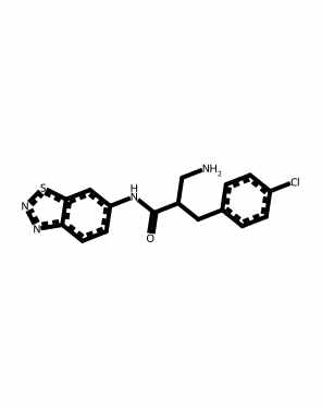 NCC(Cc1ccc(Cl)cc1)C(=O)Nc1ccc2nnsc2c1